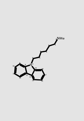 CNCCCCCCn1c2ccccc2c2ccccc21